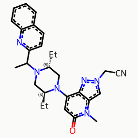 CC[C@H]1CN(C(C)c2ccc3ccccc3n2)[C@H](CC)CN1c1cc(=O)n(C)c2cn(CC#N)nc12